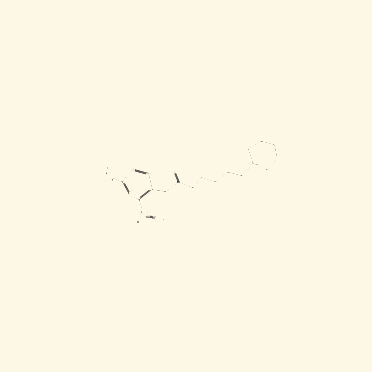 O=C(CCCCC[C]1CCCCC1)Cc1ccc([N+](=O)[O-])cc1[N+](=O)[O-]